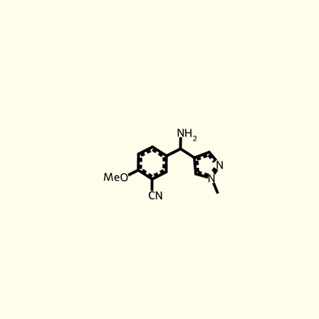 COc1ccc(C(N)c2cnn(C)c2)cc1C#N